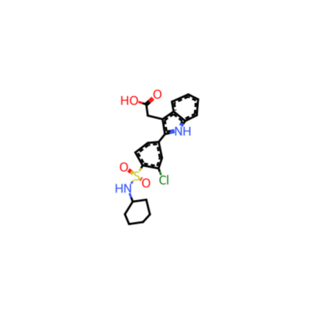 O=C(O)Cc1c(-c2ccc(S(=O)(=O)NC3CCCCC3)c(Cl)c2)[nH]c2ccccc12